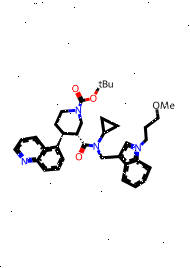 COCCCn1cc(CN(C(=O)[C@H]2CN(C(=O)OC(C)(C)C)CC[C@@H]2c2cccc3ncccc23)C2CC2)c2ccccc21